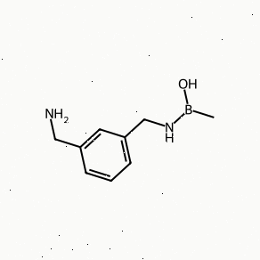 CB(O)NCc1cccc(CN)c1